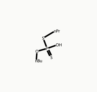 CCCCOP(O)(=S)SCCC